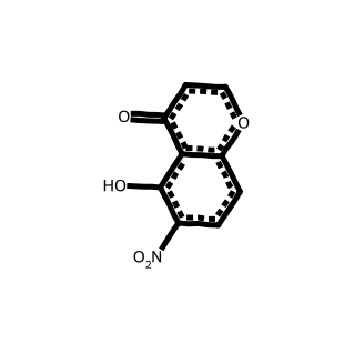 O=c1ccoc2ccc([N+](=O)[O-])c(O)c12